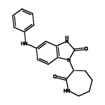 O=C1NCCCCC1n1c(=O)[nH]c2cc(Nc3ccccc3)ccc21